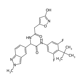 Cn1cc2cc(C(NC(=O)Cc3cc(O)no3)C(=O)Nc3cc(F)c(C(C)(C)C)c(F)c3)ccc2n1